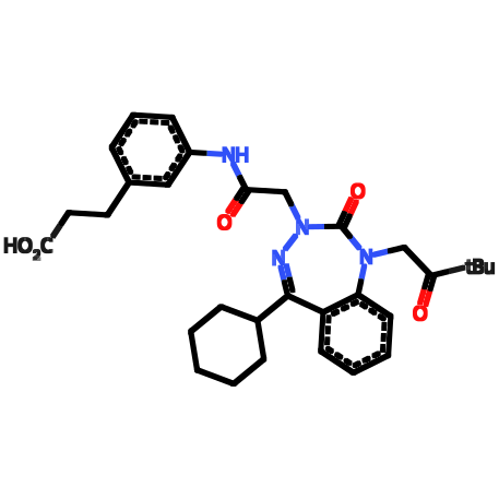 CC(C)(C)C(=O)CN1C(=O)N(CC(=O)Nc2cccc(CCC(=O)O)c2)N=C(C2CCCCC2)c2ccccc21